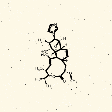 CO[C@H]1C[C@H]2C=C[C@@H]3[C@H]4[C@H](O)[C@@H](C)C(n5ccnc5)[C@@H]3O[C@]42/C(C)=C/[C@@H](C)[C@@H]([C@@H](C)O)OC1=O